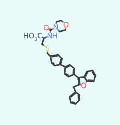 O=C(O)[C@H](CSCc1ccc(-c2ccc(-c3c(Cc4ccccc4)oc4ccccc34)cc2)cc1)NC(=O)N1CCOCC1